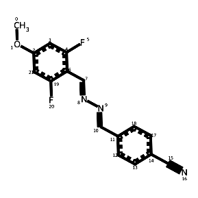 COc1cc(F)c(C=NN=Cc2ccc(C#N)cc2)c(F)c1